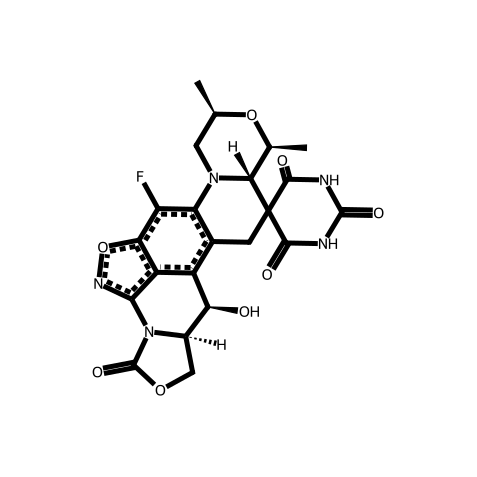 C[C@@H]1CN2c3c(c4c5c(noc5c3F)N3C(=O)OC[C@@H]3[C@@H]4O)CC3(C(=O)NC(=O)NC3=O)[C@H]2[C@H](C)O1